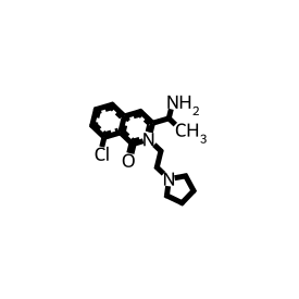 CC(N)c1cc2cccc(Cl)c2c(=O)n1CCN1CCCC1